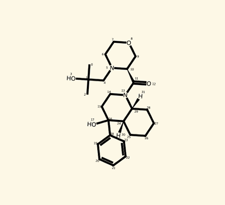 CC(C)(O)CN1CCOC[C@H]1C(=O)N1CCC(O)(c2ccccc2)[C@H]2CCCC[C@H]21